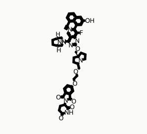 C#Cc1cccc2cc(O)cc(-c3ncc4c(N5C[C@H]6CC[C@@H](C5)N6)nc(OC[C@@]56CCCN5C(COCCOc5ccc7c(c5)C(=O)N(C5CCC(=O)NC5=O)C7=O)CC6)nc4c3F)c12